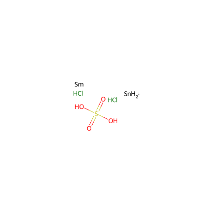 Cl.Cl.O=S(=O)(O)O.[Sm].[SnH2]